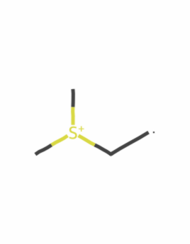 [CH2]C[S+](C)C